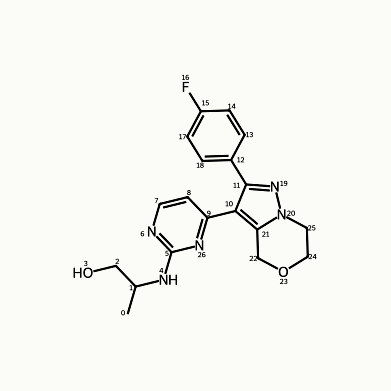 CC(CO)Nc1nccc(-c2c(-c3ccc(F)cc3)nn3c2COCC3)n1